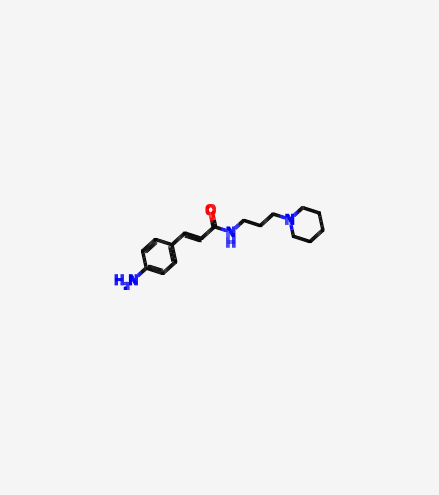 Nc1ccc(C=CC(=O)NCCCN2CCCCC2)cc1